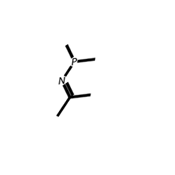 CC(C)=NP(C)C